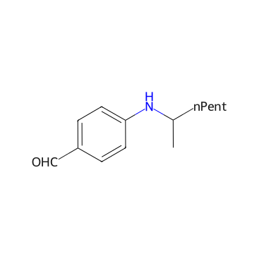 CCCCCC(C)Nc1ccc(C=O)cc1